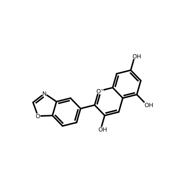 Oc1cc(O)c2cc(O)c(-c3ccc4ocnc4c3)[o+]c2c1